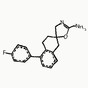 NC1=NCC2(CCc3c(cccc3-c3ccc(F)cc3)C2)O1